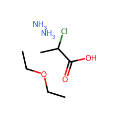 CC(Cl)C(=O)O.CCOCC.N.N